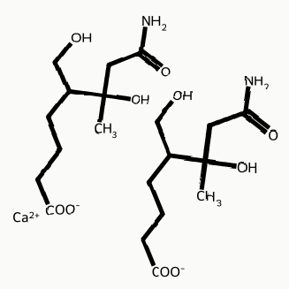 CC(O)(CC(N)=O)C(CO)CCCC(=O)[O-].CC(O)(CC(N)=O)C(CO)CCCC(=O)[O-].[Ca+2]